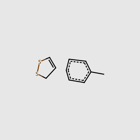 C1=CSSC1.Cc1ccccc1